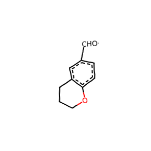 O=[C]c1ccc2c(c1)CCCO2